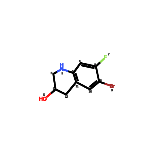 OC1CNc2cc(F)c(Br)cc2C1